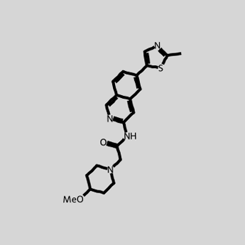 COC1CCN(CC(=O)Nc2cc3cc(-c4cnc(C)s4)ccc3cn2)CC1